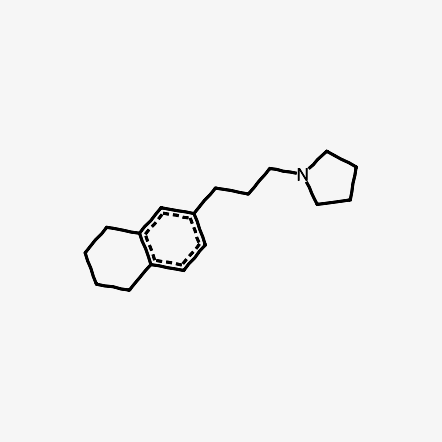 c1cc2c(cc1CCCN1CCCC1)CCCC2